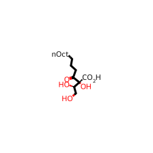 CCCCCCCCCCCC(=O)[C@@](O)(C(=O)O)[C@H](O)CO